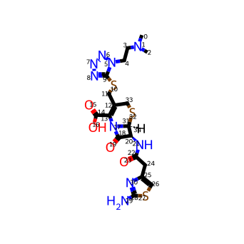 CN(C)CCn1nnnc1SCC1=C(C(=O)O)N2C(=O)[C@H](NC(=O)Cc3csc(N)n3)[C@@H]2SC1